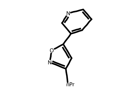 CCCc1cc(-c2cccnc2)on1